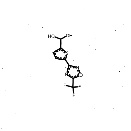 OC(O)c1ccc(-c2noc(C(F)(F)F)n2)s1